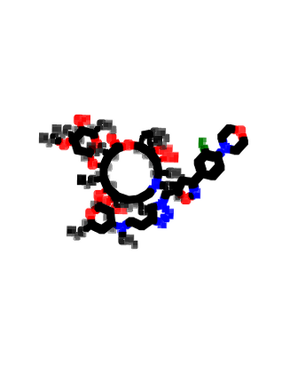 CC[C@H]1OC(=O)[C@H](C)[C@@H](O[C@H]2C[C@@](C)(OC)[C@@H](O)[C@H](C)O2)[C@H](C)[C@@H](O[C@@H]2O[C@H](C)C[C@H](N(C)CCc3cn(C[C@H]4CC(c5ccc(N6CCOCC6)c(F)c5)=NO4)nn3)[C@H]2O)[C@](C)(O)C[C@@H](C)CN(C)[C@H](C)[C@@H](O)[C@]1(C)O